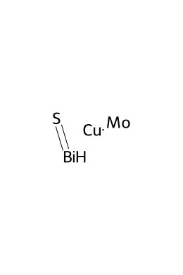 [Cu].[Mo].[S]=[BiH]